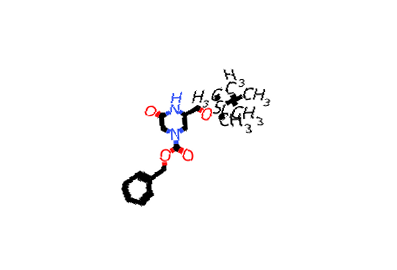 CC(C)(C)[Si](C)(C)OCC1CN(C(=O)OCc2ccccc2)CC(=O)N1